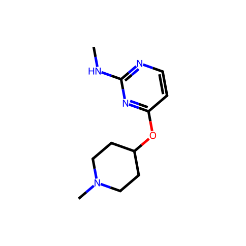 CNc1nccc(OC2CCN(C)CC2)n1